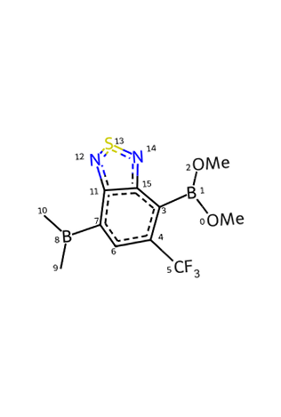 COB(OC)c1c(C(F)(F)F)cc(B(C)C)c2nsnc12